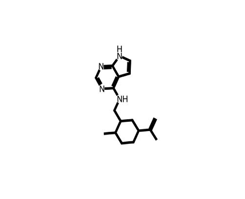 C=C(C)C1CCC(C)C(CNc2ncnc3[nH]ccc23)C1